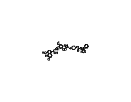 COc1cc(NC(=O)CCN2CCC(OC(=O)Nc3ncsc3-c3ccccc3)CC2)c(Cl)cc1CNC[C@H](O)c1ccc(O)c2[nH]c(=O)ccc12